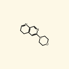 C1=Nc2cnc(N3CCOCC3)cc2CC1